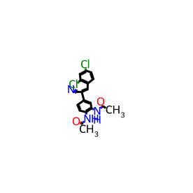 CC(=O)Nc1ccc(C(C#N)=Cc2ccc(Cl)cc2Cl)cc1NC(C)=O